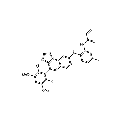 C=CC(=O)Nc1cc(C)ccc1Nc1cc2c(cn1)cc(-c1c(Cl)c(OC)cc(OC)c1Cl)c1ncnn12